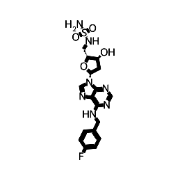 NS(=O)(=O)NC[C@H]1O[C@@H](n2cnc3c(NCc4ccc(F)cc4)ncnc32)C[C@@H]1O